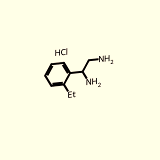 CCc1ccccc1C(N)CN.Cl